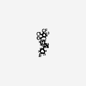 O=C(c1cccc(C(F)(F)F)c1Cl)N1CCn2c(nnc2-c2ccc(F)cc2)C1